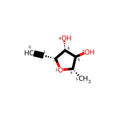 C#C[C@H]1O[C@@H](C)C(O)[C@H]1O